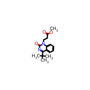 COC(=O)CCn1c(=O)nc(C(C)(C)C)c2ccccc21